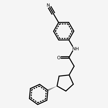 N#Cc1ccc(NC(=O)CC2CC[C@H](c3ccccc3)C2)cc1